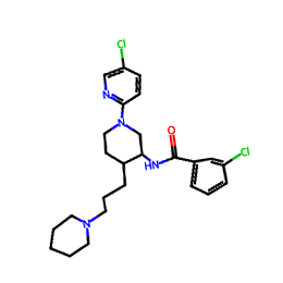 O=C(NC1CN(c2ccc(Cl)cn2)CCC1CCCN1CCCCC1)c1cccc(Cl)c1